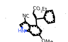 [C-]#[N+]c1c[nH]c2cc(OC)cc(/C(=C/C(=O)OCC)c3ccccc3)c12